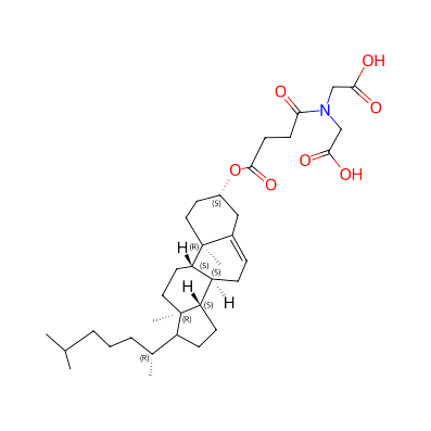 CC(C)CCC[C@@H](C)C1CC[C@H]2[C@@H]3CC=C4C[C@@H](OC(=O)CCC(=O)N(CC(=O)O)CC(=O)O)CC[C@]4(C)[C@H]3CC[C@]12C